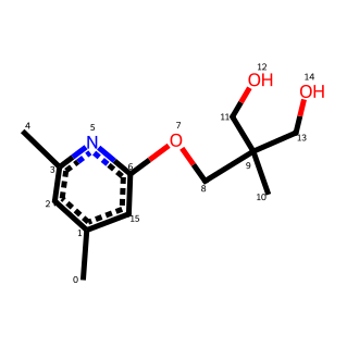 Cc1[c]c(C)nc(OCC(C)(CO)CO)c1